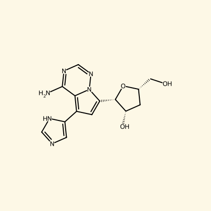 Nc1ncnn2c([C@@H]3O[C@H](CO)C[C@@H]3O)cc(-c3cnc[nH]3)c12